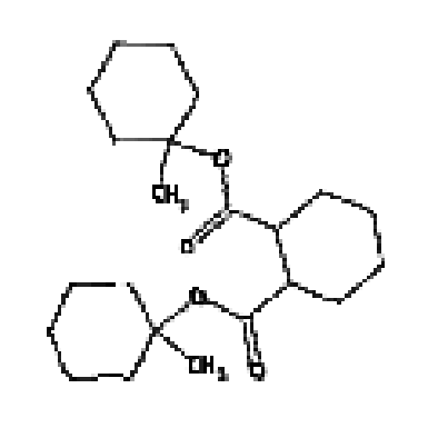 CC1(OC(=O)C2CCCCC2C(=O)OC2(C)CCCCC2)CCCCC1